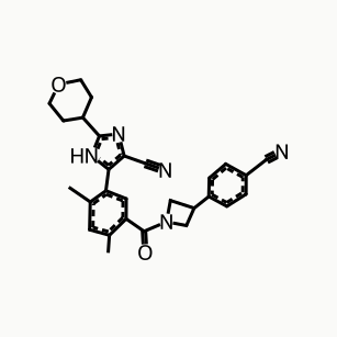 Cc1cc(C)c(-c2[nH]c(C3CCOCC3)nc2C#N)cc1C(=O)N1CC(c2ccc(C#N)cc2)C1